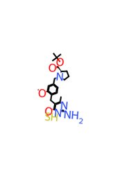 COc1cc(CN2CCC[C@@H]2C(=O)OC(C)(C)C)ccc1Cc1c(C)nc(N)nc1OS